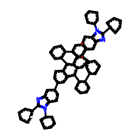 c1ccc(-c2ccccc2-c2c3ccc(-c4ccc5c(c4)nc(-c4ccccc4)n5-c4ccccc4)cc3c(-c3ccccc3-c3ccccc3)c3ccc(-c4ccc5c(c4)nc(-c4ccccc4)n5-c4ccccc4)cc23)cc1